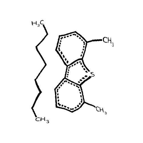 CCCCCCCC.Cc1cccc2c1sc1c(C)cccc12